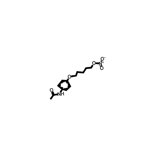 CC(=O)Nc1ccc(OCCCCCO[N+](=O)[O-])cc1